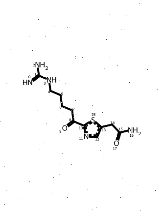 N=C(N)NCCC[CH]C(=O)c1ncc(CC(N)=O)s1